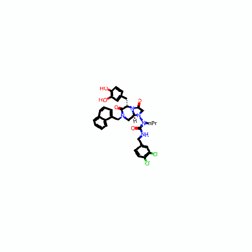 CCCN(C(=O)NCc1ccc(Cl)c(Cl)c1)N1CC(=O)N2[C@@H](Cc3ccc(O)c(O)c3)C(=O)N(Cc3cccc4ccccc34)C[C@@H]21